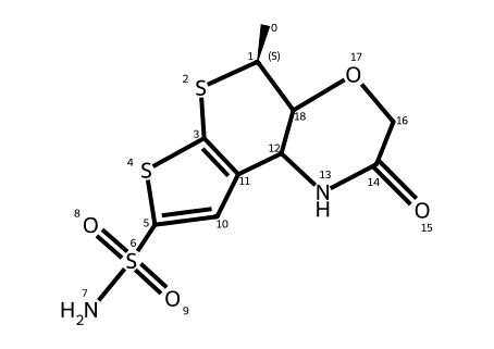 C[C@@H]1Sc2sc(S(N)(=O)=O)cc2C2NC(=O)COC21